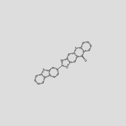 O=c1c2ccccc2sc2cc3nc(-c4ccc5c(c4)sc4ccccc45)oc3cc12